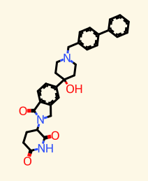 O=C1CCC(N2Cc3cc(C4(O)CCN(Cc5ccc(-c6ccccc6)cc5)CC4)ccc3C2=O)C(=O)N1